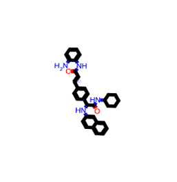 Nc1ccccc1NC(=O)/C=C/c1ccc(C(Nc2ccc3ccccc3c2)C(=O)NC2CCCCC2)cc1